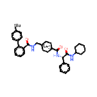 CC(C)(C)c1ccc(-c2ccccc2C(=O)NCC23CCC(C(=O)N[C@H](C(=O)NC4CCCCC4)c4ccccc4)(CC2)CC3)cc1